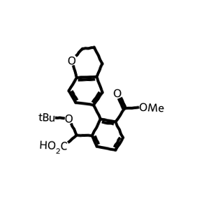 COC(=O)c1cccc(C(OC(C)(C)C)C(=O)O)c1-c1ccc2c(c1)CCCO2